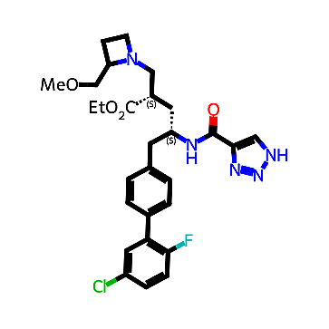 CCOC(=O)[C@@H](C[C@@H](Cc1ccc(-c2cc(Cl)ccc2F)cc1)NC(=O)c1c[nH]nn1)CN1CCC1COC